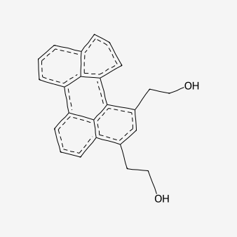 OCCc1cc(CCO)c2c3cccc4cccc(c5cccc1c52)c43